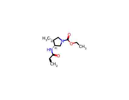 C=CC(=O)N[C@H]1CN(C(=O)OCC)C[C@H]1C